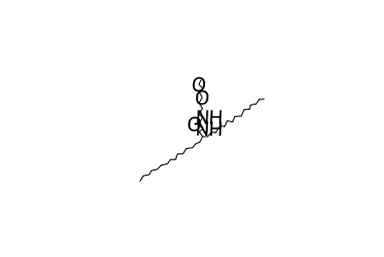 CCCCCCCCCCCCCCCC(CCCCCCCCCCCCCCC)CNC(=O)NCCCOCCOC